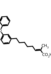 CC(=CCCCCCc1cccc(Oc2ccccc2)c1)C(=O)O